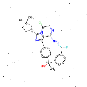 CC(C)[C@@]1(C(=O)O)CC[C@@H](c2nc(-c3ccc([C@@](C)(O)c4cccc(C(F)F)c4)cc3)c3c(N)ncc(Cl)n23)C1